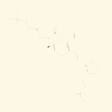 O=C(O)CCn1nnnc1SCC1=C(C(=O)O)N2C(=O)C(NC(=O)C(S)CC(F)(F)F)[C@H]2SC1